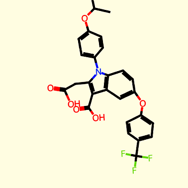 CC(C)Oc1ccc(-n2c(CC(=O)O)c(C(=O)O)c3cc(Oc4ccc(C(F)(F)F)cc4)ccc32)cc1